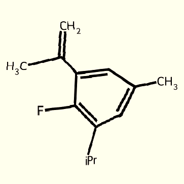 C=C(C)c1cc(C)cc(C(C)C)c1F